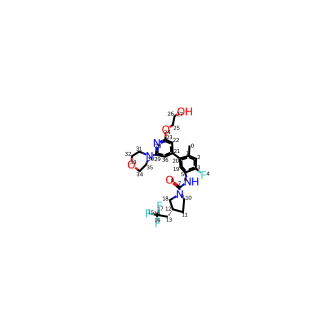 Cc1cc(F)c(NC(=O)N2CC[C@H](CC(F)(F)F)C2)cc1-c1cc(OCCO)nc(N2CCOCC2)c1